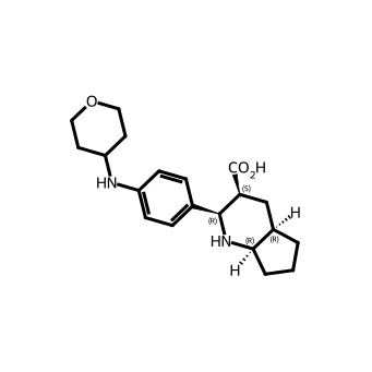 O=C(O)[C@H]1C[C@H]2CCC[C@H]2N[C@H]1c1ccc(NC2CCOCC2)cc1